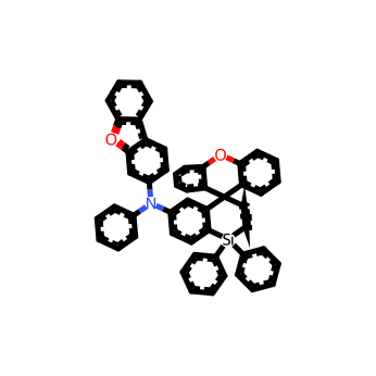 c1ccc(N(c2ccc3c(c2)C2(c4ccccc4Oc4ccccc42)c2ccccc2[Si]3(c2ccccc2)c2ccccc2)c2ccc3c(c2)oc2ccccc23)cc1